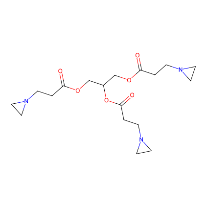 O=C(CCN1CC1)OCC(COC(=O)CCN1CC1)OC(=O)CCN1CC1